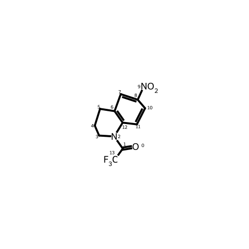 O=C(N1CCCc2cc([N+](=O)[O-])ccc21)C(F)(F)F